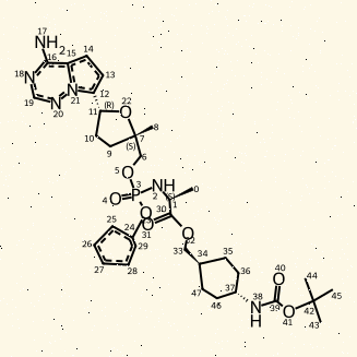 C[C@H](NP(=O)(OC[C@]1(C)CC[C@H](c2ccc3c(N)ncnn23)O1)Oc1ccccc1)C(=O)OC[C@H]1CC[C@H](NC(=O)OC(C)(C)C)CC1